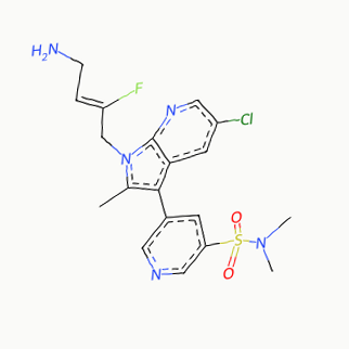 Cc1c(-c2cncc(S(=O)(=O)N(C)C)c2)c2cc(Cl)cnc2n1CC(F)=CCN